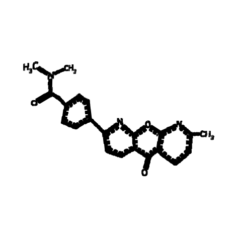 Cc1ccc2c(=O)c3ccc(-c4ccc(C(=O)N(C)C)cc4)nc3oc2n1